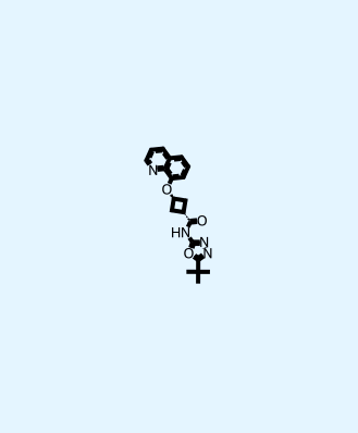 CC(C)(C)c1nnc(NC(=O)[C@H]2C[C@H](Oc3cccc4cccnc34)C2)o1